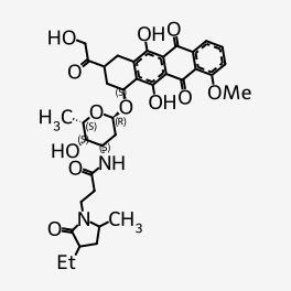 CCC1CC(C)N(CCC(=O)N[C@H]2C[C@H](O[C@H]3CC(C(=O)CO)Cc4c(O)c5c(c(O)c43)C(=O)c3c(OC)cccc3C5=O)O[C@@H](C)[C@H]2O)C1=O